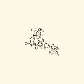 CC(C)(C)OC(=O)N1CCC[C@H](CN(C[C@H]2C[C@@H](n3ccc4c(Cl)ncnc43)[C@@H]3OC(C)(C)O[C@H]23)C(=O)OC(C)(C)C)C1